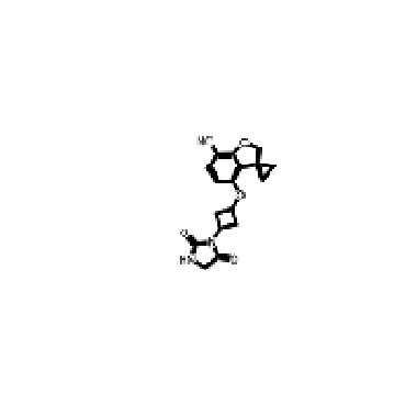 N#Cc1ccc(OC2CC(N3C(=O)CNC3=O)C2)c2c1OCC21CC1